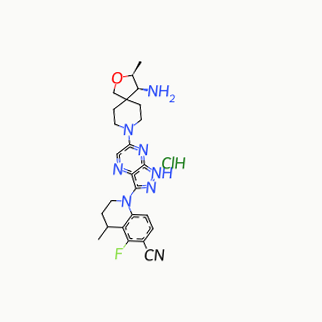 CC1CCN(c2n[nH]c3nc(N4CCC5(CC4)CO[C@@H](C)[C@H]5N)cnc23)c2ccc(C#N)c(F)c21.Cl